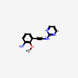 COc1c(N)cccc1C#CNc1ncccn1